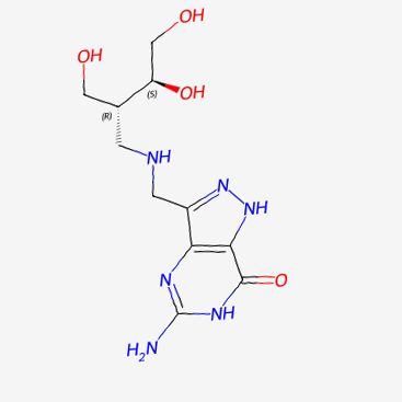 Nc1nc2c(CNC[C@H](CO)[C@H](O)CO)n[nH]c2c(=O)[nH]1